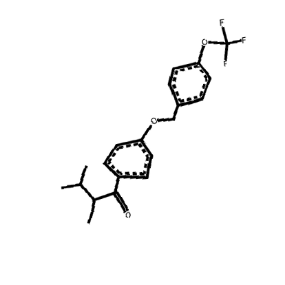 CC(C)C(C)C(=O)c1ccc(OCc2ccc(OC(F)(F)F)cc2)cc1